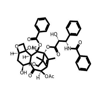 CC(=O)O[C@H]1C(=O)C2[C@H]([C@H](OC(=O)c3ccccc3)[C@@]3(OC(=O)[C@H](O)[C@@H](NC(=O)c4ccccc4)c4ccccc4)C(C)=C1C3(C)CO)[C@]1(OC(C)=O)CO[C@@H]1C[C@@H]2O